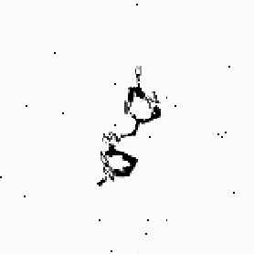 Cn1ccc(NCc2cnc(Cl)cn2)n1